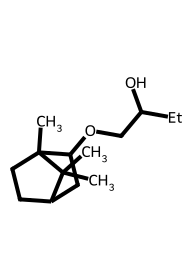 CCC(O)COC1CC2CCC1(C)C2(C)C